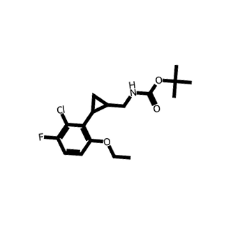 CCOc1ccc(F)c(Cl)c1C1CC1CNC(=O)OC(C)(C)C